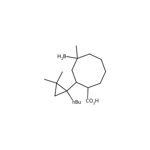 BC1(C)CCCCC(C(=O)O)C(C2(CCCC)CC2(C)C)C1